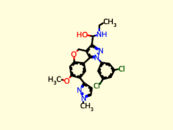 CCNC(O)c1nn(-c2cc(Cl)cc(Cl)c2)c2c1COc1cc(OC)c(-c3ccn(C)n3)cc1-2